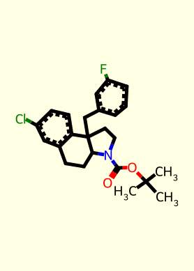 CC(C)(C)OC(=O)N1CCC2(Cc3cccc(F)c3)c3ccc(Cl)cc3CCC12